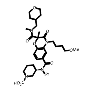 COCCCCN1C(=O)C(C)(C(=O)N(C)CC2CCOCC2)Oc2ccc(C(=O)N(C(C)C)[C@@H]3CCCN(C(=O)O)C3)cc21